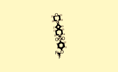 O=S(=O)(c1ccc(OC(F)F)cc1)N1CCC2(CC1)CC(N1CCOCC1)C2